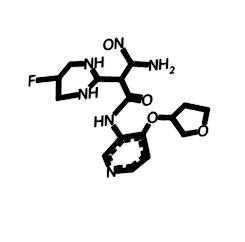 NC(N=O)C(C(=O)Nc1cnccc1OC1CCOC1)C1NCC(F)CN1